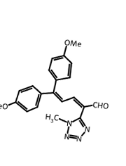 COc1ccc(C(=CC=C(C=O)c2nnnn2C)c2ccc(OC)cc2)cc1